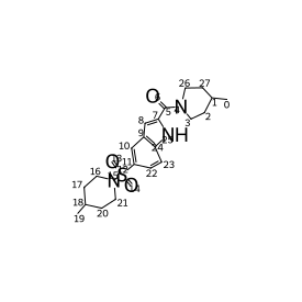 CC1CCN(C(=O)c2cc3cc(S(=O)(=O)N4CCC(C)CC4)ccc3[nH]2)CC1